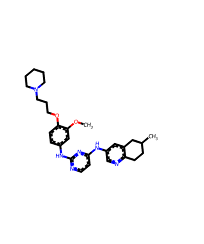 COc1cc(Nc2nccc(Nc3cnc4c(c3)CC(C)CC4)n2)ccc1OCCCN1CCCCC1